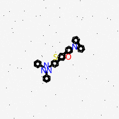 c1ccc(-c2nc(-c3ccccc3)nc(-c3ccc4c(c3)sc3cc5c(cc34)oc3cc(-n4c6ccccc6c6ccccc64)ccc35)n2)cc1